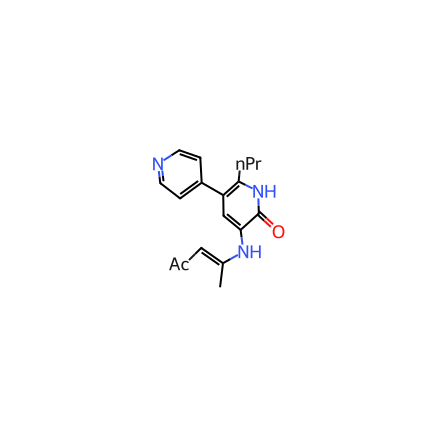 CCCc1[nH]c(=O)c(NC(C)=CC(C)=O)cc1-c1ccncc1